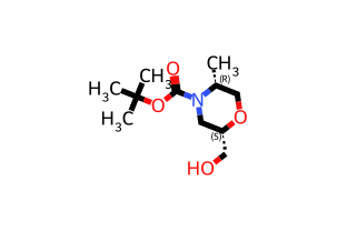 C[C@@H]1CO[C@H](CO)CN1C(=O)OC(C)(C)C